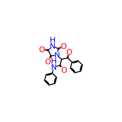 O=C1NC(=O)N(C(C(=O)Nc2ccccc2)C(=O)c2ccccc2)C1=O